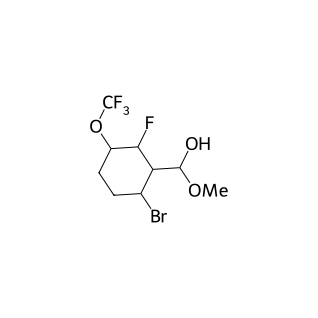 COC(O)C1C(Br)CCC(OC(F)(F)F)C1F